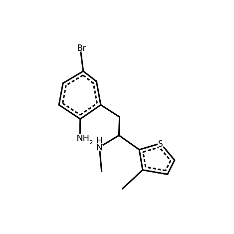 CNC(Cc1cc(Br)ccc1N)c1sccc1C